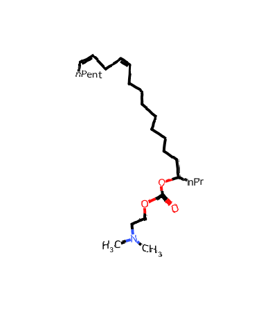 CCCCC/C=C\C/C=C\CCCCCCCCC(CCC)OC(=O)OCCN(C)C